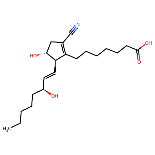 CCCCC[C@H](O)/C=C/[C@@H]1C(CCCCCCC(=O)O)=C(C#N)C[C@H]1O